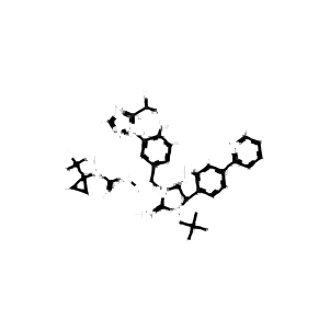 CC(C)(C)C[C@]1(c2ccc(-c3ccccn3)cc2F)NC(=N)N([C@H](COC(=O)NC2(C(F)(F)F)CC2)c2ccc(Cl)c(-n3ncnc3C(F)F)c2)C1=O